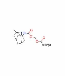 CCCCCCCC(=O)OCOC(=O)NC12CC3CC(C1)C(CC)C(C)(C3)C2